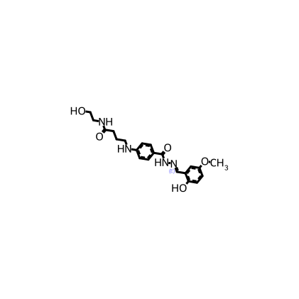 COc1ccc(O)c(/C=N/NC(=O)c2ccc(NCCCC(=O)NCCO)cc2)c1